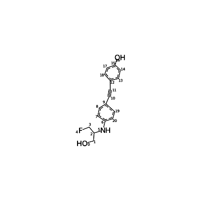 OCC(CF)Nc1ccc(C#Cc2ccc(O)cc2)cc1